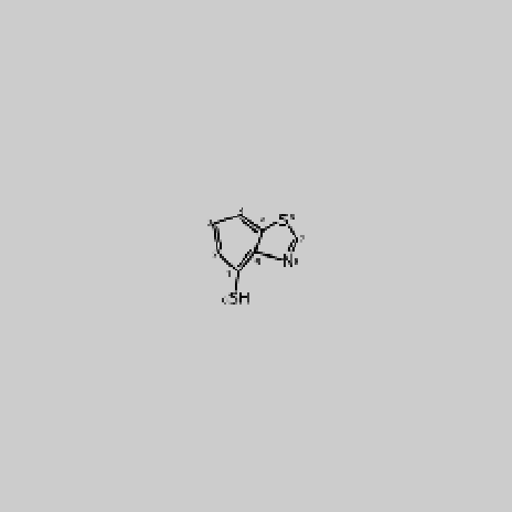 Sc1cccc2s[c]nc12